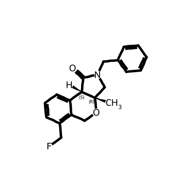 C[C@]12CN(Cc3ccccc3)C(=O)[C@H]1c1cccc(CF)c1CO2